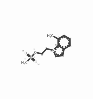 Cc1cccc2ccn(CCOS(C)(=O)=O)c12